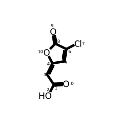 O=C(O)/C=C1\C=C(Cl)C(=O)O1